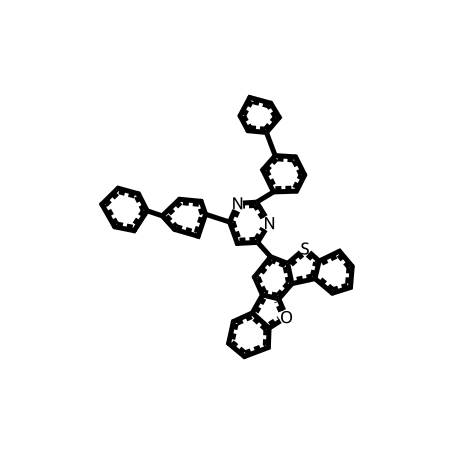 c1ccc(-c2ccc(-c3cc(-c4cc5c6ccccc6oc5c5c4sc4ccccc45)nc(-c4cccc(-c5ccccc5)c4)n3)cc2)cc1